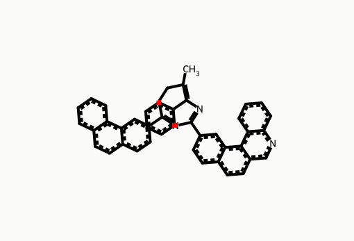 C\C1=C(c2ccccc2)/N=C(c2ccc3ccc4cnc5ccccc5c4c3c2)\N=C(\c2ccc3ccc4ccccc4c3c2)CC1